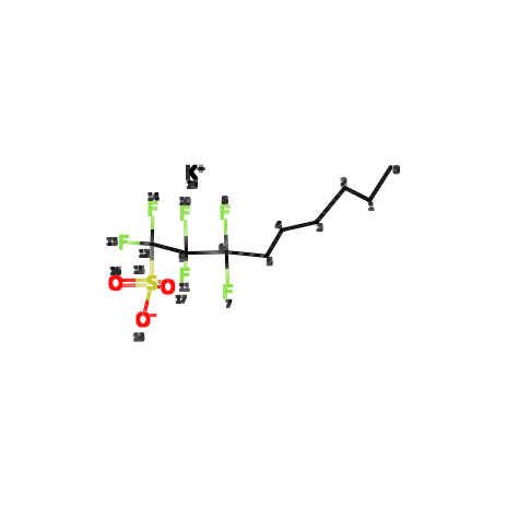 CCCCCCC(F)(F)C(F)(F)C(F)(F)S(=O)(=O)[O-].[K+]